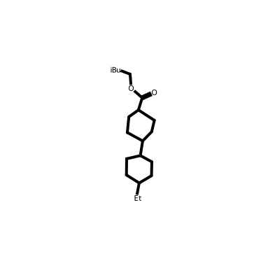 CCC(C)COC(=O)C1CCC(C2CCC(CC)CC2)CC1